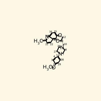 COc1ccc(N2CCN(C[C@H]3COc4ccc5nc(C)ccc5c4O3)CC2)cc1